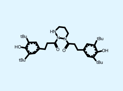 CC(C)(C)c1cc(CCC(=O)N2CCCNN2C(=O)CCc2cc(C(C)(C)C)c(O)c(C(C)(C)C)c2)cc(C(C)(C)C)c1O